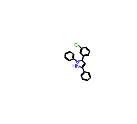 Clc1cccc(C2C=C(c3ccccc3)NN2c2ccccc2)c1